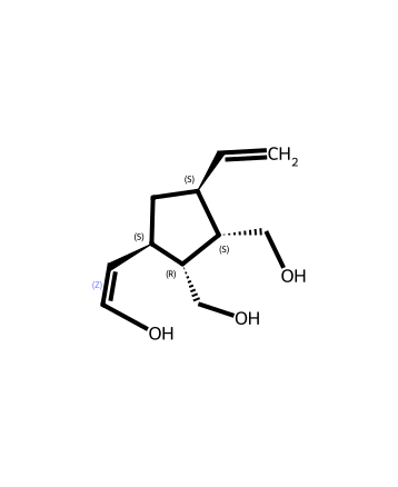 C=C[C@@H]1C[C@H](/C=C\O)[C@@H](CO)[C@H]1CO